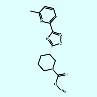 Cc1cccc(-c2noc([C@H]3CCCN(C(=O)OC(C)(C)C)C3)n2)n1